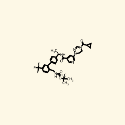 C[C@@H](NC(=O)c1cncc(N2CCN(C(=O)C3CC3)C=N2)c1)c1ccc(-c2cc(C(F)(F)F)ccc2CNC(=O)OC(C)(C)C)cc1